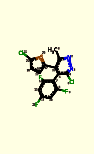 Cc1nnc(Cl)c(-c2c(F)cc(F)cc2F)c1-c1ccc(Cl)s1